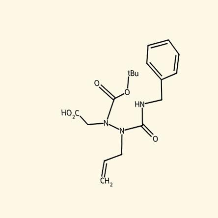 C=CCN(C(=O)NCc1ccccc1)N(CC(=O)O)C(=O)OC(C)(C)C